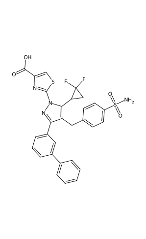 NS(=O)(=O)c1ccc(Cc2c(-c3cccc(-c4ccccc4)c3)nn(-c3nc(C(=O)O)cs3)c2C2CC2(F)F)cc1